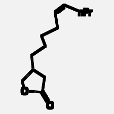 CCC/C=C\CCCCC1COC(=O)C1